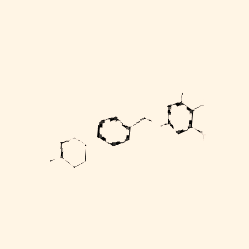 CC[C@H]1CC[C@H](c2ccc(COc3cc(F)c(F)c(F)c3)cc2)CC1